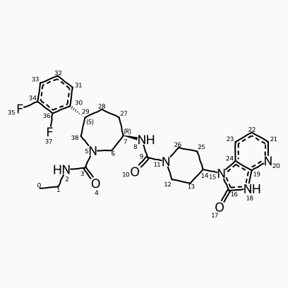 CCNC(=O)N1C[C@H](NC(=O)N2CCC(n3c(=O)[nH]c4ncccc43)CC2)CC[C@@H](c2cccc(F)c2F)C1